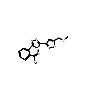 COCc1cc(-c2nnc3c4ccccc4c(S)nn23)no1